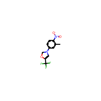 Cc1cc(N2C=C(C(F)(F)F)OC2)ccc1[N+](=O)[O-]